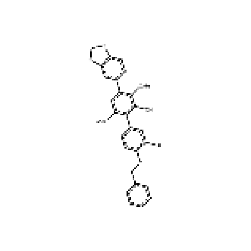 COc1cc(-c2ccc3c(c2)OCO3)c(OC)c(O)c1-c1ccc(OCc2ccccc2)c(O)c1